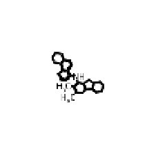 Cc1cc2c(c(Nc3cccc4c3ccc3ccccc34)c1C)Cc1ccccc1-2